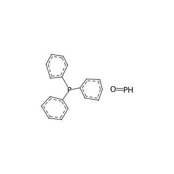 O=P.c1ccc(P(c2ccccc2)c2ccccc2)cc1